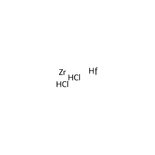 Cl.Cl.[Hf].[Zr]